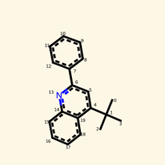 CC(C)(C)c1cc(-c2ccccc2)nc2ccccc12